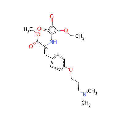 CCOc1c(N[C@@H](Cc2ccc(OCCCN(C)C)cc2)C(=O)OC)c(=O)c1=O